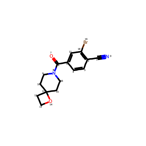 N#Cc1ccc(C(=O)N2CCC3(CCO3)CC2)cc1Br